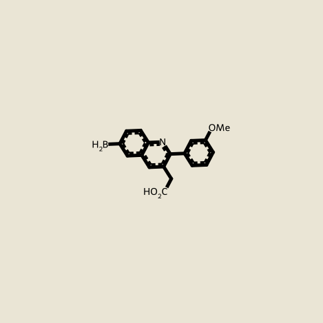 Bc1ccc2nc(-c3cccc(OC)c3)c(CC(=O)O)cc2c1